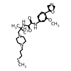 COc1cc(NC(=O)C(=O)NC(C)(C)CN2CCN(CCCSC)CC2)ccc1-c1cnco1